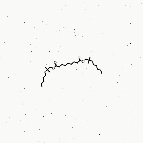 CCCCCCC(C)(C)COC(=O)CCCCCCCC(=O)OCC(C)(C)CCCCCC